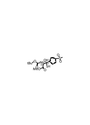 COC(=O)[C@@H](NC(=O)OC(C)(C)C)[C@@](O)(S)c1ccc(S(C)(=O)=O)cc1